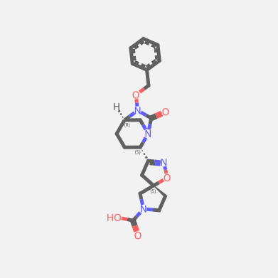 O=C(O)N1CC[C@]2(CC([C@@H]3CC[C@@H]4CN3C(=O)N4OCc3ccccc3)=NO2)C1